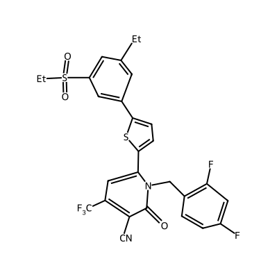 CCc1cc(-c2ccc(-c3cc(C(F)(F)F)c(C#N)c(=O)n3Cc3ccc(F)cc3F)s2)cc(S(=O)(=O)CC)c1